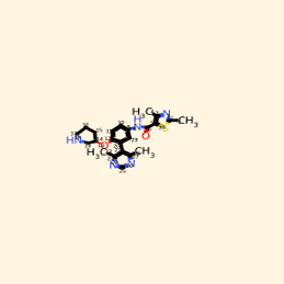 Cc1nc(C)c(C(=O)Nc2ccc(O[C@@H]3CCCNC3)c(-c3c(C)ncnc3C)c2)s1